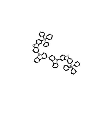 c1ccc([Si](c2ccccc2)(c2ccccc2)c2ccc3oc4ccc(-n5c6ccccc6c6cc(-c7ccc8c(c7)c7ccccc7n8-c7ccc8oc9ccc([Si](c%10ccccc%10)(c%10ccccc%10)c%10ccccc%10)cc9c8c7)ccc65)cc4c3c2)cc1